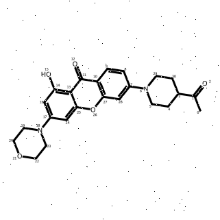 CC(=O)C1CCN(c2ccc3c(=O)c4c(O)cc(N5CCOCC5)cc4oc3c2)CC1